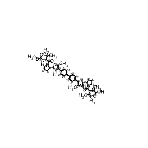 COC(=O)N[C@H](C(=O)N1CCC[C@H]1c1nc(C)c(-c2ccc(-c3ccc(-c4nc([C@@H]5CCCN5C(=O)[C@H](C(C)C)N(C)C(=O)O)[nH]c4C)cc3)cc2)[nH]1)C(C)C